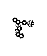 CC1(C)OB(c2ccc(-c3cc4ccccc4c4nc5c6sc7ccc8ccccc8c7c6ccn5c34)cc2)OC1(C)C